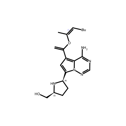 C=C(O/C(C)=C\C(C)CC)c1cc([C@H]2CC[C@@H](CO)N2)n2ncnc(N)c12